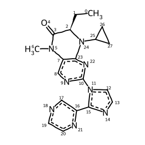 CC[C@@H]1C(=O)N(C)c2cnc(-n3ccnc3-c3cnccn3)nc2N1C1CC1